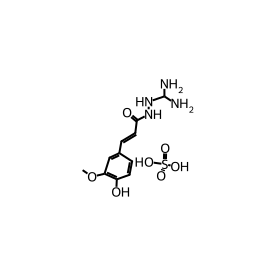 COc1cc(/C=C/C(=O)NNC(N)N)ccc1O.O=S(=O)(O)O